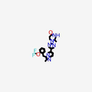 Cc1nc2ccc(-c3cnc(N4CCC(=O)NCC4C)nc3)cn2c1Cc1ccccc1OC(F)F